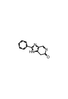 O=C1Cc2[nH]c(-c3ccccc3)nc2C=N1